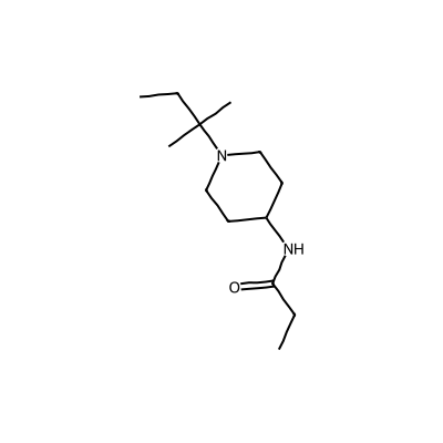 CCC(=O)NC1CCN(C(C)(C)CC)CC1